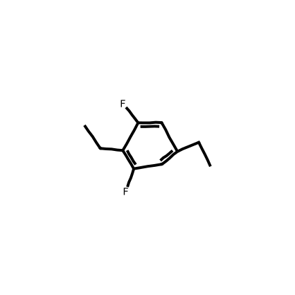 CCc1cc(F)c(CC)c(F)c1